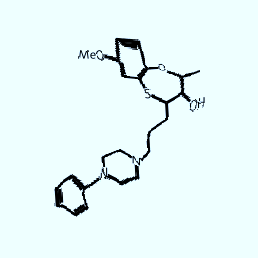 COc1ccc2c(c1)SC(CCCN1CCN(c3ccccc3)CC1)C(O)C(C)O2